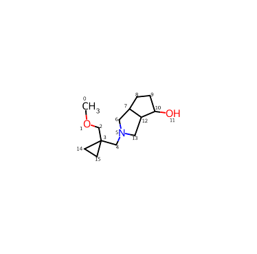 COCC1(CN2CC3CCC(O)C3C2)CC1